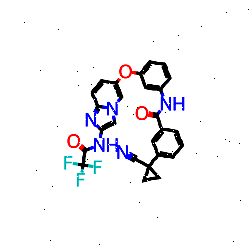 N#CC1(c2cccc(C(=O)Nc3cccc(Oc4ccc5nc(NC(=O)C(F)(F)F)cn5c4)c3)c2)CC1